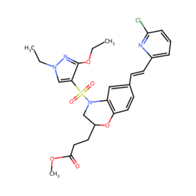 CCOc1nn(CC)cc1S(=O)(=O)N1CC(CCC(=O)OC)Oc2ccc(C=Cc3cccc(Cl)n3)cc21